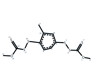 COC(=S)SSc1ccc(SSC(=S)OC)c(C)c1